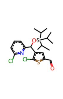 CC(C)[Si](OC(c1cccc(Cl)n1)c1cc(C=O)sc1Cl)(C(C)C)C(C)C